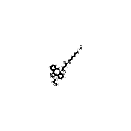 O=POCCCCCCNC(=O)CCC(=O)N1Cc2ccccc2C2N=NN(CCO)C2c2ccccc21